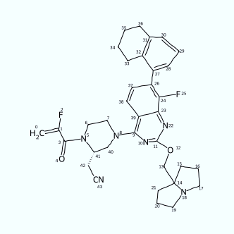 C=C(F)C(=O)N1CCN(c2nc(OCC34CCCN3CCC4)nc3c(F)c(-c4cccc5c4CCCC5)ccc23)C[C@@H]1CC#N